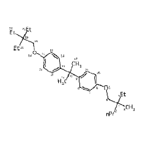 CCCC(C)(CC)COc1ccc(C(C)(C)c2ccc(OCC(CC)(CC)CC)cc2)cc1